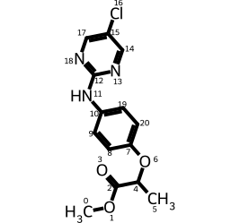 COC(=O)C(C)Oc1ccc(Nc2ncc(Cl)cn2)cc1